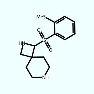 CSc1ccccc1S(=O)(=O)C1NCC12CCNCC2